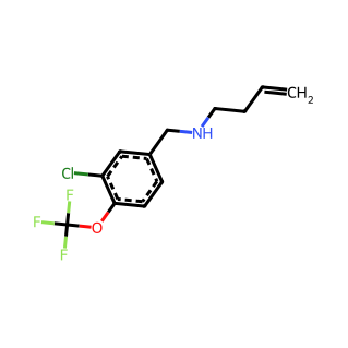 C=CCCNCc1ccc(OC(F)(F)F)c(Cl)c1